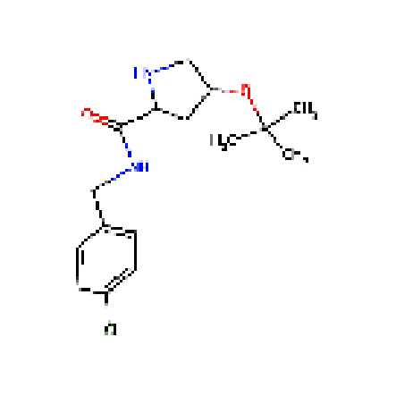 CC(C)(C)OC1CNC(C(=O)NCc2ccc(Cl)cc2)C1